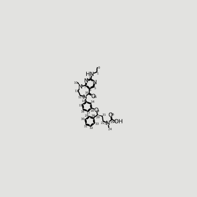 CCNc1ncc2c(n1)N(C)CCN(c1cccc(O[C@@H](CCN(C)C(=O)O)c3ccccc3)c1)C2=O